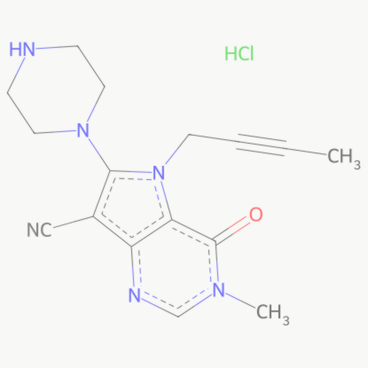 CC#CCn1c(N2CCNCC2)c(C#N)c2ncn(C)c(=O)c21.Cl